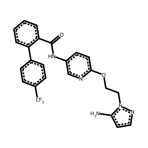 Nc1ccnn1CCOc1ccc(NC(=O)c2ccccc2-c2ccc(C(F)(F)F)cc2)cn1